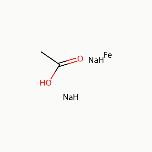 CC(=O)O.[Fe].[NaH].[NaH]